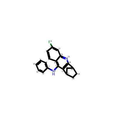 Fc1ccc2c(Nc3ccccc3)c3c(nc2c1)C1CCC3C1